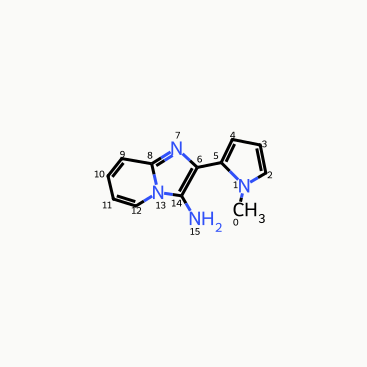 Cn1cccc1-c1nc2ccccn2c1N